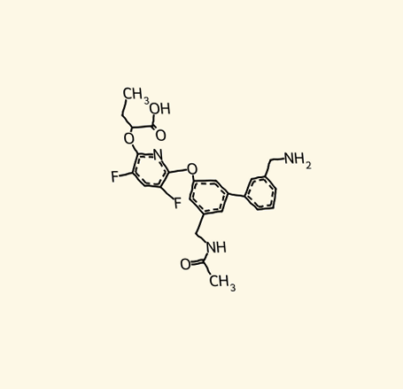 CCC(Oc1nc(Oc2cc(CNC(C)=O)cc(-c3cccc(CN)c3)c2)c(F)cc1F)C(=O)O